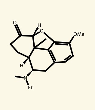 CCN(C)[C@@H]1Cc2ccc(OC)c3c2C2(C)[C@@H](O3)C(=O)CC[C@@H]12